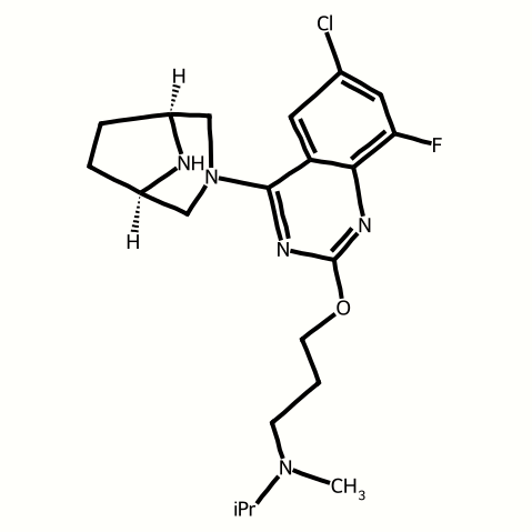 CC(C)N(C)CCCOc1nc(N2C[C@H]3CC[C@@H](C2)N3)c2cc(Cl)cc(F)c2n1